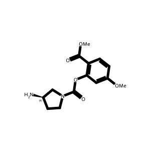 COC(=O)c1ccc(OC)cc1OC(=O)N1CC[C@@H](N)C1